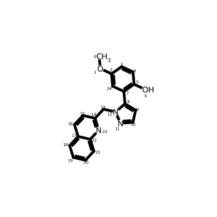 COc1ccc(O)c(-c2ccnn2Cc2ccc3ccccc3n2)c1